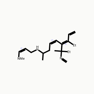 C=C/C(CC)=C(\C=C/CC(C)NC/C=C\NC)C(C)(CC)N=C